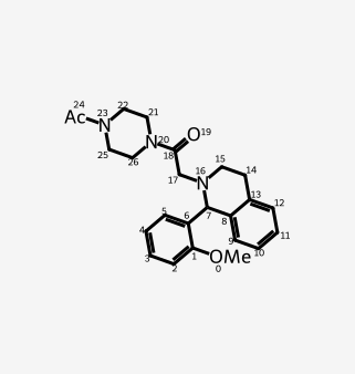 COc1ccccc1C1c2ccccc2CCN1CC(=O)N1CCN(C(C)=O)CC1